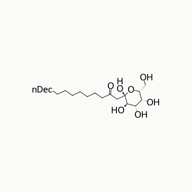 CCCCCCCCCCCCCCCCCC(=O)C[C@]1(O)O[C@H](CO)[C@H](O)[C@H](O)[C@H]1O